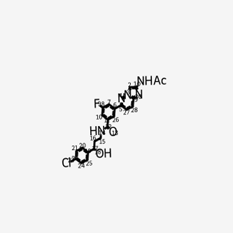 CC(=O)Nc1cn2nc(-c3cc(F)cc(C(=O)NCCC(O)c4ccc(Cl)cc4)c3)ccc2n1